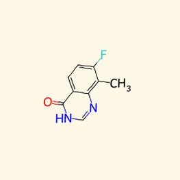 Cc1c(F)ccc2c(=O)[nH]cnc12